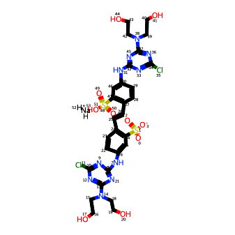 O=S(=O)([O-])c1cc(Nc2nc(Cl)nc(N(CCO)CCO)n2)ccc1C=Cc1ccc(Nc2nc(Cl)nc(N(CCO)CCO)n2)cc1S(=O)(=O)O.[H+].[NaH]